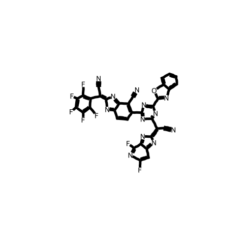 N#C/C(=C1\N=c2cc(F)nc(F)c2=N1)c1nc(-c2nc3ccccc3o2)nc(-c2ccc3c(c2C#N)=N/C(=C(\C#N)c2c(F)c(F)c(F)c(F)c2F)N=3)n1